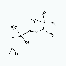 CC(COC(C)(C)CC1CO1)C(C)(C)O